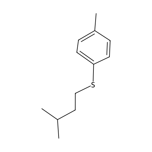 Cc1ccc(SCCC(C)C)cc1